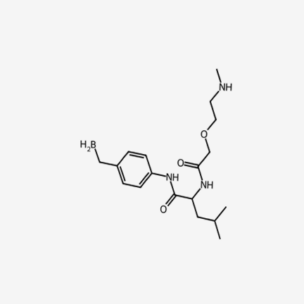 BCc1ccc(NC(=O)C(CC(C)C)NC(=O)COCCNC)cc1